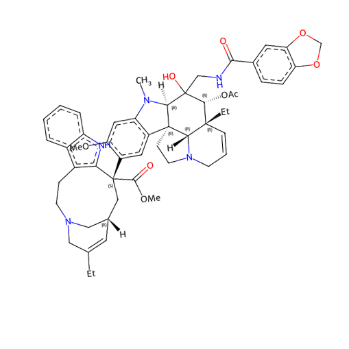 CCC1=C[C@@H]2CN(CCc3c([nH]c4ccccc34)[C@@](C(=O)OC)(c3cc4c(cc3OC)N(C)[C@H]3C(O)(CNC(=O)c5ccc6c(c5)OCO6)[C@H](OC(C)=O)[C@]5(CC)C=CCN6CC[C@]43[C@@H]65)C2)C1